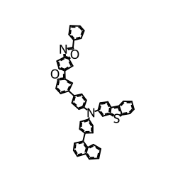 c1ccc(-c2nc3cc4oc5ccc(-c6ccc(N(c7ccc(-c8cccc9ccccc89)cc7)c7ccc8c(c7)sc7ccccc78)cc6)cc5c4cc3o2)cc1